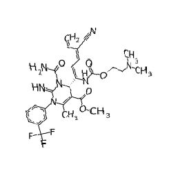 C=C/C(C#N)=C\C=C(/NC(=O)OCCN(C)C)[C@@H]1C(C(=O)OC)=C(C)N(c2cccc(C(F)(F)F)c2)C(=N)N1C(N)=O